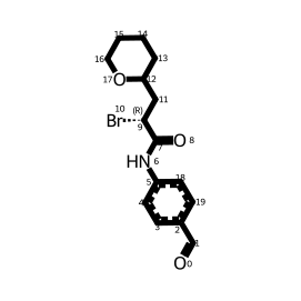 O=Cc1ccc(NC(=O)[C@H](Br)CC2CCCCO2)cc1